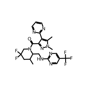 Cc1c(-c2ncccn2)c(C(=O)N2CC(F)(F)CC(C)C2CNc2ncc(C(F)(F)F)cn2)nn1C